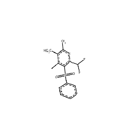 Cc1c(C(=O)O)c(C(F)(F)F)nc(C(F)F)c1S(=O)(=O)c1ccccc1